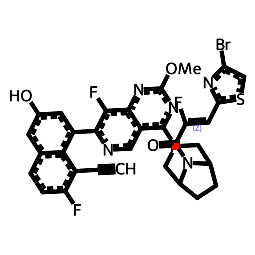 C#Cc1c(F)ccc2cc(O)cc(-c3ncc4c(N5CC6CCC(C5)N6C(=O)/C(F)=C/c5nc(Br)cs5)nc(OC)nc4c3F)c12